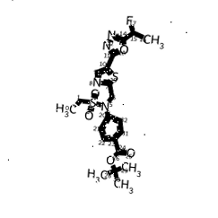 CCS(=O)(=O)N(Cc1ncc(-c2nnc(C(C)F)o2)s1)c1ccc(C(=O)OC(C)(C)C)cc1